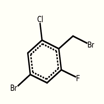 Fc1cc(Br)cc(Cl)c1CBr